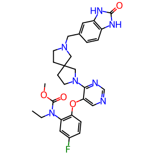 CCN(C(=O)OC)c1cc(F)ccc1Oc1cncnc1N1CCC2(CCN(Cc3ccc4[nH]c(=O)[nH]c4c3)C2)C1